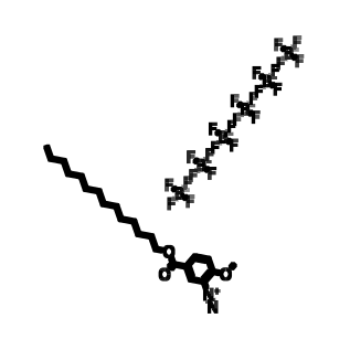 CCCCCCCCCCCCCCOC(=O)c1ccc(OC)c([N+]#N)c1.F[B-](F)(F)F.F[B-](F)(F)F.F[B-](F)(F)F.F[B-](F)(F)F.F[B-](F)(F)F.F[B-](F)(F)F